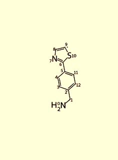 NCc1ccc(-c2nc[c]s2)cc1